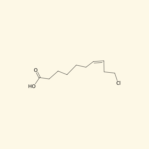 O=C(O)CCCCC/C=C\CCCl